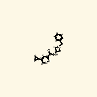 O=C(NC1CN(Cc2ccccc2)C1)c1cc(C2CC2)cnn1